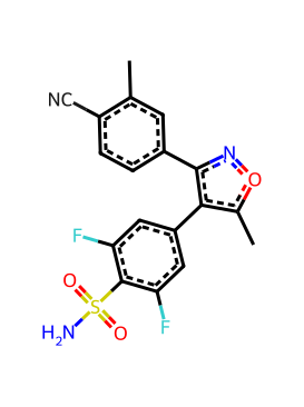 Cc1cc(-c2noc(C)c2-c2cc(F)c(S(N)(=O)=O)c(F)c2)ccc1C#N